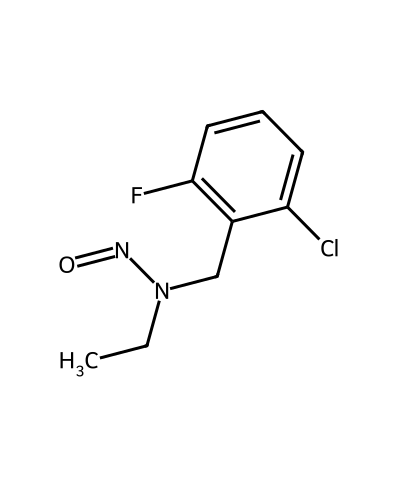 CCN(Cc1c(F)cccc1Cl)N=O